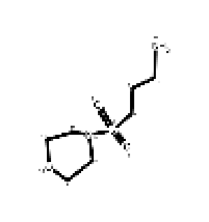 NCCCS(=O)(=O)N1CCOCC1